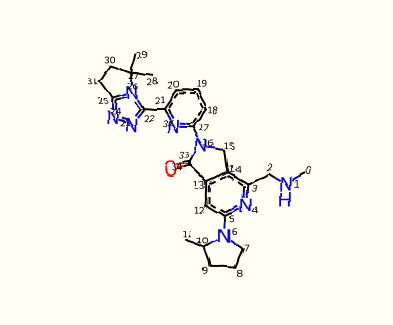 CNCc1nc(N2CCCC2C)cc2c1CN(c1cccc(-c3nnc4n3C(C)(C)CC4)n1)C2=O